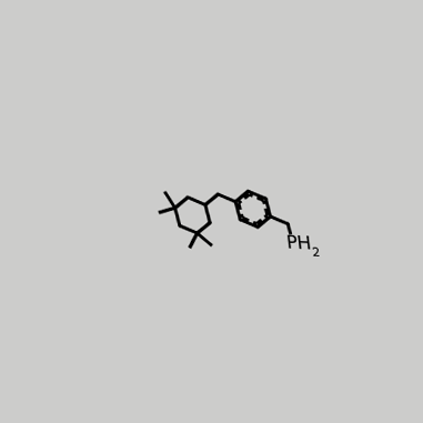 CC1(C)CC(Cc2ccc(CP)cc2)CC(C)(C)C1